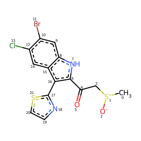 C[S+]([O-])CC(=O)c1[nH]c2cc(Br)c(Cl)cc2c1-c1nccs1